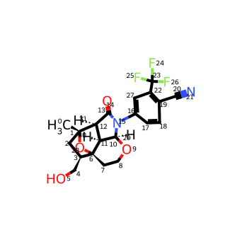 C[C@@]12C[C@H](CO)[C@]3(CCO[C@H]4[C@@H]3[C@@H]1C(=O)N4c1ccc(C#N)c(C(F)(F)F)c1)O2